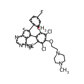 Cc1c(Cl)c(OCCN2CCN(C)CC2)c(Cl)c(C)c1-c1c(-c2ccc(F)cc2)sc2ncnc(Br)c12